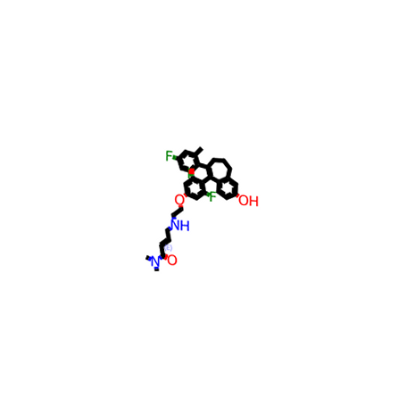 Cc1cc(F)ccc1C1=C(c2c(F)cc(OCCNC/C=C/C(=O)N(C)C)cc2F)c2ccc(O)cc2CCC1